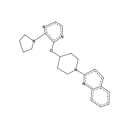 c1ccc2nc(N3CCC(Oc4nccnc4N4CCCC4)CC3)ccc2c1